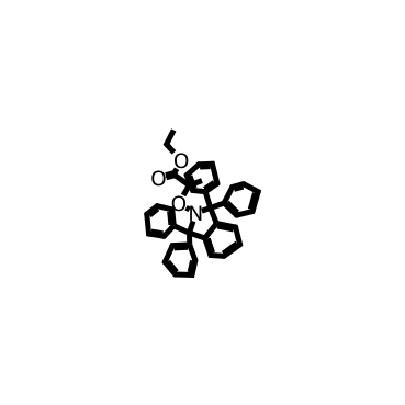 CCOC(=O)C(C)ON1C(c2ccccc2)(c2ccccc2)c2ccccc2C1(c1ccccc1)c1ccccc1